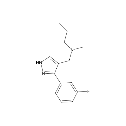 CCCN(C)Cc1c[nH]nc1-c1cccc(F)c1